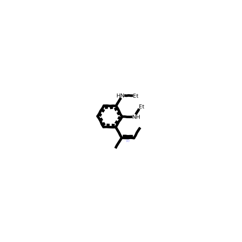 C/C=C(/C)c1cccc(NCC)c1NCC